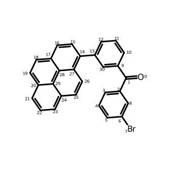 O=C(c1cccc(Br)c1)c1cccc(-c2ccc3ccc4cccc5ccc2c3c45)c1